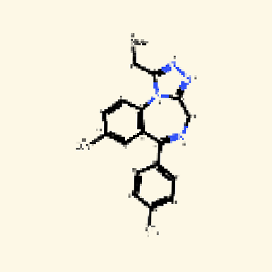 CNCc1nnc2n1-c1ccc([N+](=O)[O-])cc1C(c1ccc(C(F)(F)F)cc1)=NC2